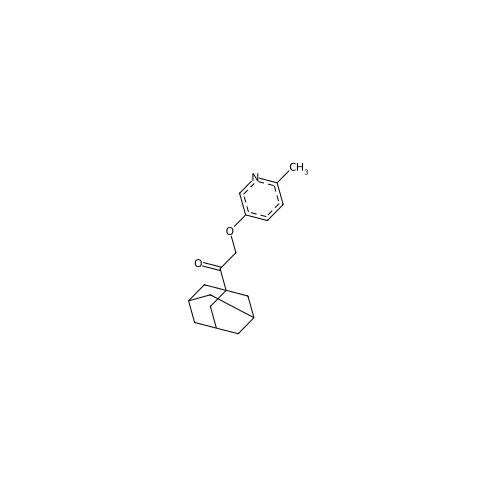 Cc1ccc(OCC(=O)C23CC4CC(CC(C4)C2)C3)cn1